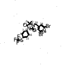 CC1(C)C(=O)N(c2ccc(SC(F)(F)F)cc2)C(=O)N1Cc1cc(Br)nc(Br)c1